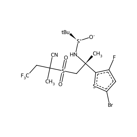 CC(C)(C)[S@@+]([O-])N[C@@](C)(CS(=O)(=O)C(C)(C#N)CC(F)(F)F)c1sc(Br)cc1F